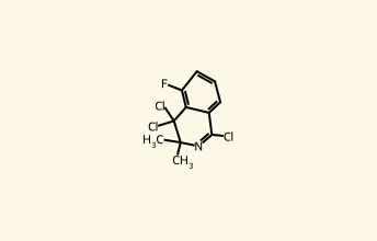 CC1(C)N=C(Cl)c2cccc(F)c2C1(Cl)Cl